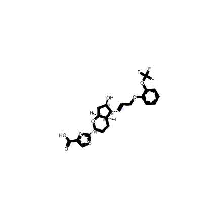 O=C(O)c1csc([C@H]2CC[C@@H]3[C@@H](/C=C/COc4ccccc4OC(F)(F)F)[C@H](O)C[C@@H]3O2)n1